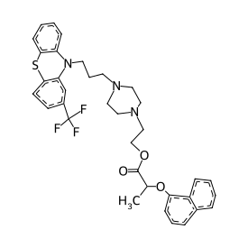 CC(Oc1cccc2ccccc12)C(=O)OCCN1CCN(CCCN2c3ccccc3Sc3ccc(C(F)(F)F)cc32)CC1